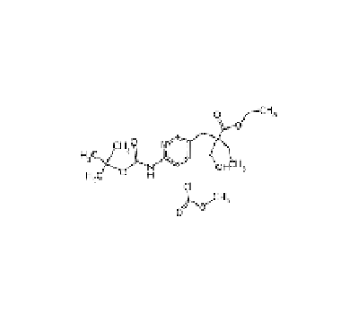 CCOC(=O)C(CC)(CO)Cc1ccc(NC(=O)OC(C)(C)C)nc1.COC(=O)Cl